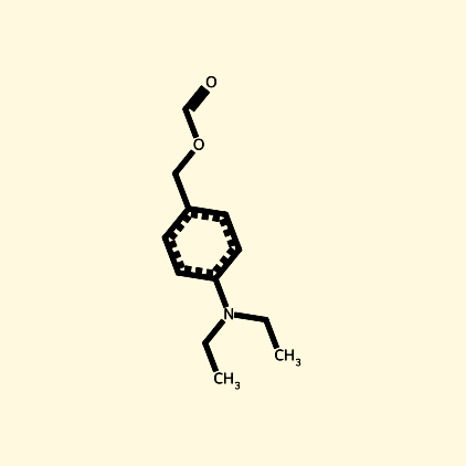 CCN(CC)c1ccc(COC=O)cc1